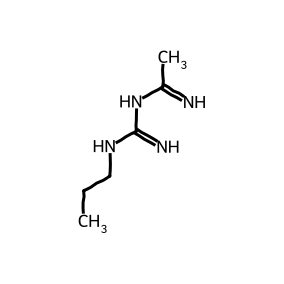 CCCNC(=N)NC(C)=N